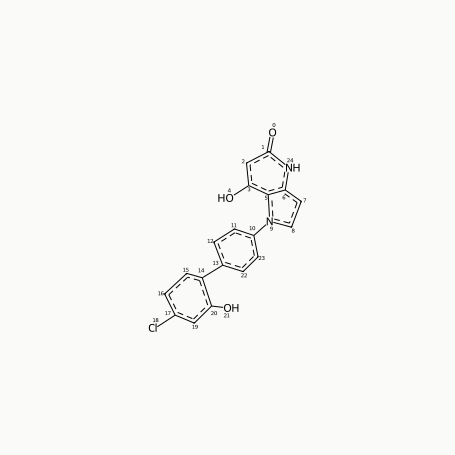 O=c1cc(O)c2c(ccn2-c2ccc(-c3ccc(Cl)cc3O)cc2)[nH]1